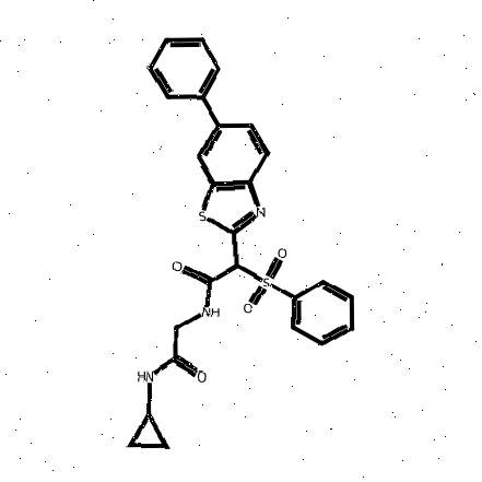 O=C(CNC(=O)C(c1nc2ccc(-c3ccccc3)cc2s1)S(=O)(=O)c1ccccc1)NC1CC1